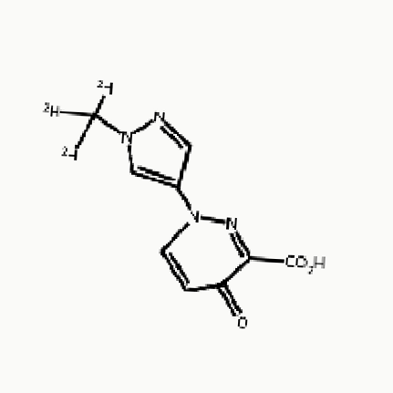 [2H]C([2H])([2H])n1cc(-n2ccc(=O)c(C(=O)O)n2)cn1